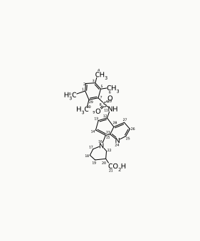 Cc1cc(C)c(C)c(S(=O)(=O)Nc2ccc(N3CCCC(C(=O)O)C3)c3ncccc23)c1C